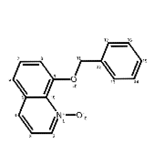 [O-][n+]1cccc2cccc(OCc3ccccc3)c21